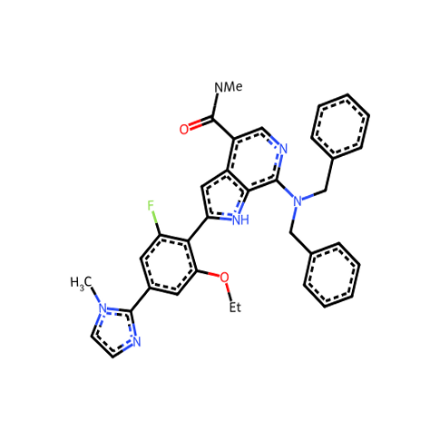 CCOc1cc(-c2nccn2C)cc(F)c1-c1cc2c(C(=O)NC)cnc(N(Cc3ccccc3)Cc3ccccc3)c2[nH]1